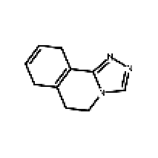 [C]1CC2=C(CC=CC2)c2nncn21